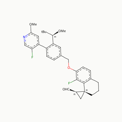 COc1cc(-c2ccc(COc3ccc4c(c3F)[C@]3(CCC4)C[C@H]3C=O)cc2[C@H](OC)C(C)(C)C)c(F)cn1